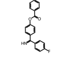 N=C(c1ccc(F)cc1)c1ccc(OC(=O)c2ccccc2)cc1